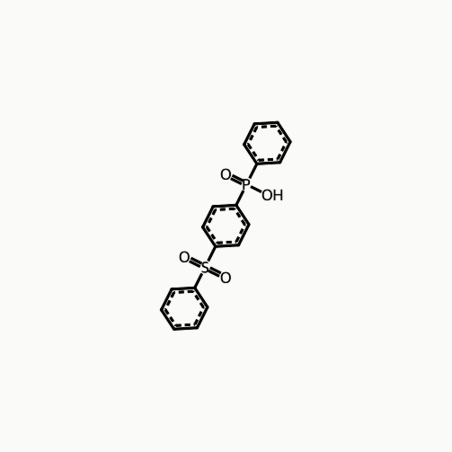 O=P(O)(c1ccccc1)c1ccc(S(=O)(=O)c2ccccc2)cc1